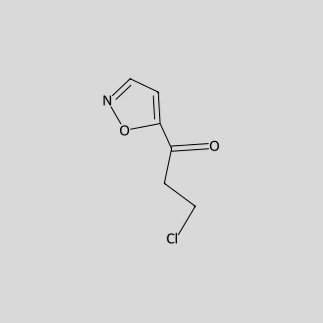 O=C(CCCl)c1ccno1